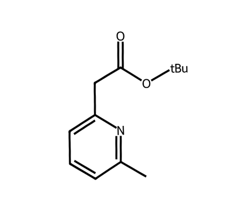 Cc1cccc(CC(=O)OC(C)(C)C)n1